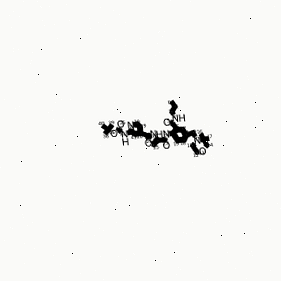 CCCNC(=O)c1cc(CN2CCOCC2(C)C)ccc1NC(=O)c1coc(-c2ccnc(NC(=O)OC(C)(C)C)c2)n1